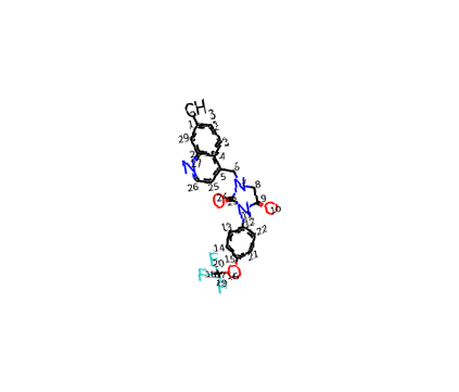 Cc1ccc2c(CN3CC(=O)N(c4ccc(OC(F)(F)F)cc4)C3=O)ccnc2c1